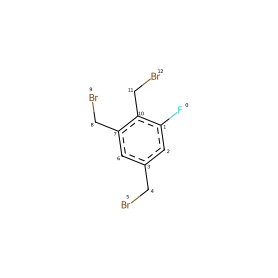 Fc1cc(CBr)cc(CBr)c1CBr